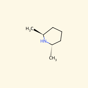 C[C@H]1CCC[C@H](C)N1